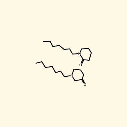 CCCCCCCN1CCCC(=O)C1.CCCCCCCN1CCCCC1=O